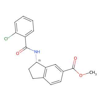 COC(=O)c1ccc2c(c1)[C@@H](NC(=O)c1ccccc1Cl)CC2